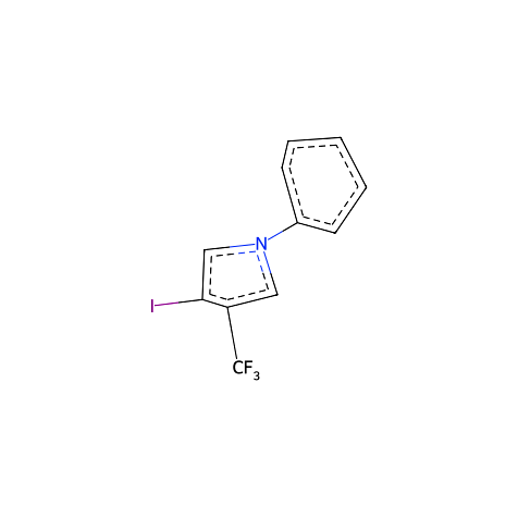 FC(F)(F)c1cn(-c2ccccc2)cc1I